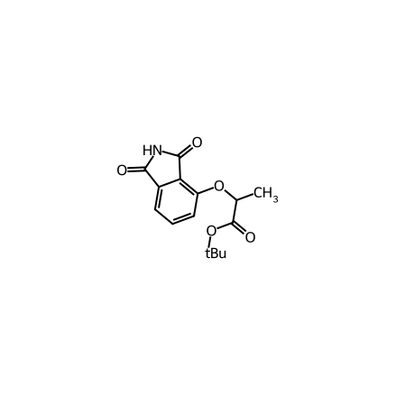 CC(Oc1cccc2c1C(=O)NC2=O)C(=O)OC(C)(C)C